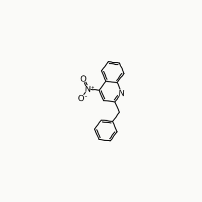 O=[N+]([O-])c1cc(Cc2ccccc2)nc2ccccc12